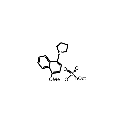 CCCCCCCCS(=O)(=O)[O-].COc1ccc([S+]2CCCC2)c2ccccc12